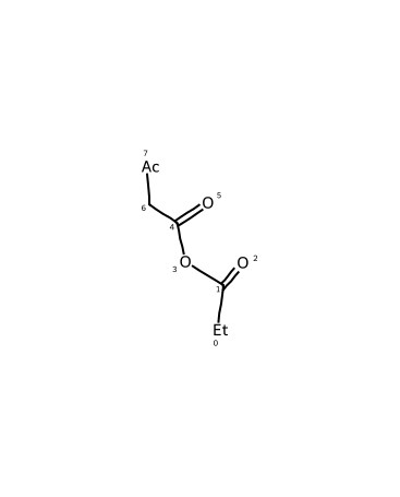 CCC(=O)OC(=O)CC(C)=O